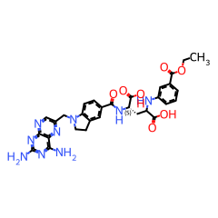 CCOC(=O)c1cccc(NC(C[C@H](NC(=O)c2ccc3c(c2)CCN3Cc2cnc3nc(N)nc(N)c3n2)C(=O)O)C(=O)O)c1